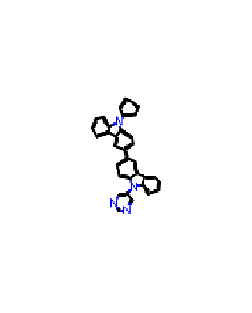 c1ccc(-n2c3ccccc3c3cc(-c4ccc5c(c4)c4ccccc4n5-c4cncnc4)ccc32)cc1